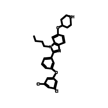 CCCCn1c(-c2cccc(Oc3cc(Cl)cc(Cl)c3)c2)nc2ccc(OC3CCNCC3)cc21